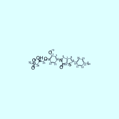 COc1cc(N2Cc3cc(-c4ccc(I)cc4)sc3C2=O)ccc1OC[C@H](O)CS(C)(=O)=O